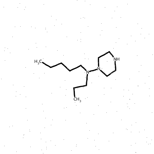 CCCCCN(CCC)N1CCNCC1